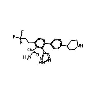 NS(=O)(=O)c1c(CCC(F)(F)F)ccc(-c2ccc(C3CCNCC3)cc2)c1-c1nn[nH]n1